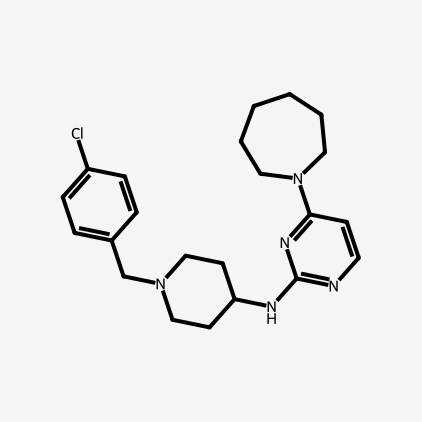 Clc1ccc(CN2CCC(Nc3nccc(N4CCCCCC4)n3)CC2)cc1